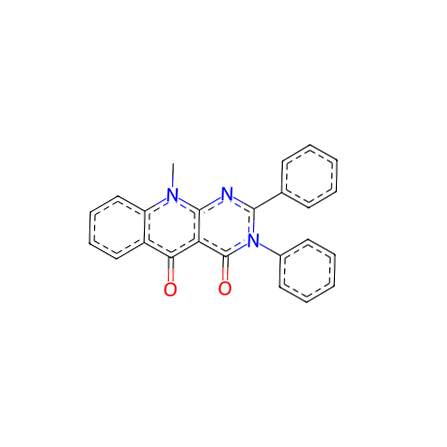 Cn1c2ccccc2c(=O)c2c(=O)n(-c3ccccc3)c(-c3ccccc3)nc21